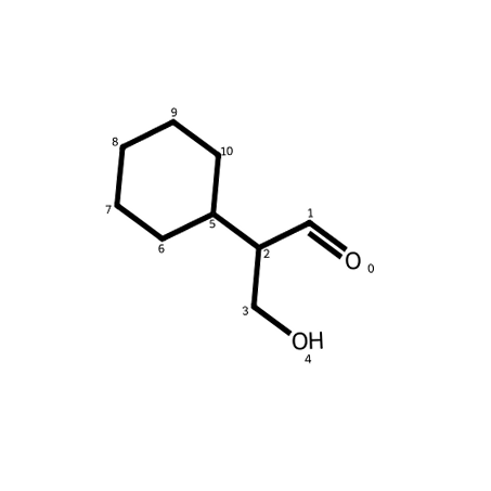 O=CC(CO)C1CCCCC1